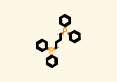 [CH](CC[CH]P(c1ccccc1)c1ccccc1)P(c1ccccc1)c1ccccc1